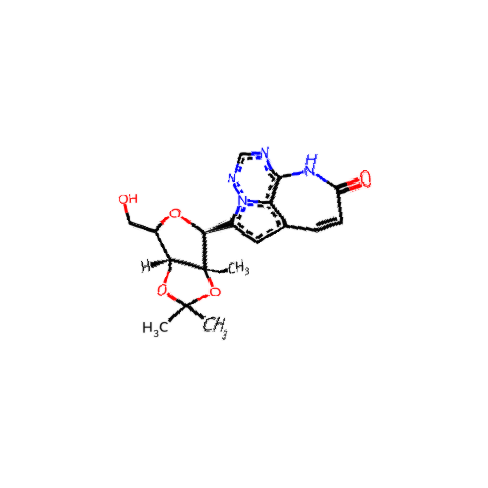 CC1(C)O[C@@H]2C(CO)O[C@@H](c3cc4c5c(ncnn35)NC(=O)C=C4)[C@]2(C)O1